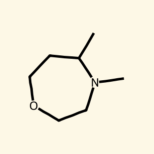 CC1CCOCCN1C